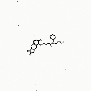 O=C(O)CN(C(=O)CCCOc1c(Cl)ccc2c1CN1CC(=O)NC1=N2)C1CCCCC1